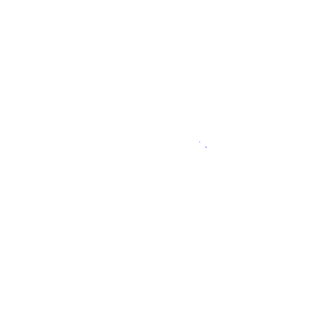 CCNCCC#P=O